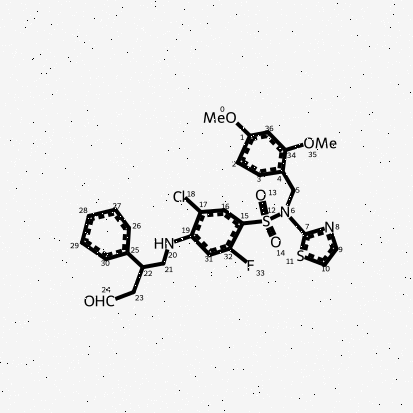 COc1ccc(CN(c2nccs2)S(=O)(=O)c2cc(Cl)c(NCC(CC=O)c3ccccc3)cc2F)c(OC)c1